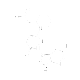 O=C(O)CC1CCCCN1c1ccc(=O)n(-c2c[nH]c3ncc(F)cc23)n1